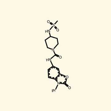 CC(C)n1c(=O)oc2cc(NC(=O)N3CCC(NS(C)(=O)=O)CC3)ccc21